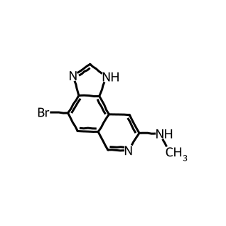 CNc1cc2c(cn1)cc(Br)c1nc[nH]c12